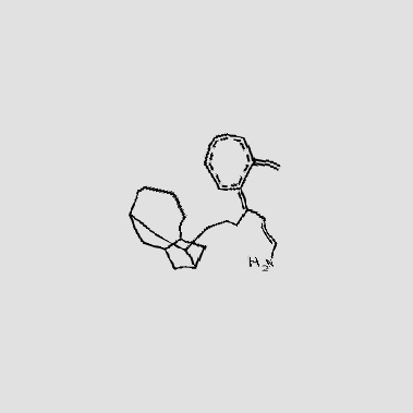 C=c1cccc/c1=C(/C=C\N)CCC1C2CCCC3CC1CC3C2